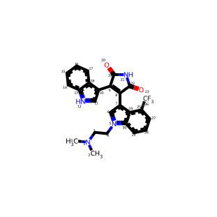 CN(C)CCn1cc(C2=C(c3c[nH]c4ccccc34)C(=O)NC2=O)c2c(C(F)(F)F)cccc21